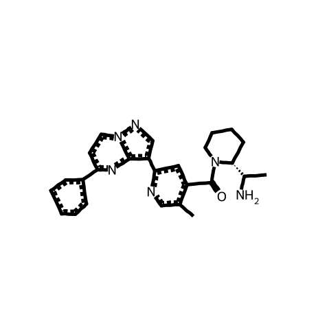 Cc1cnc(-c2cnn3ccc(-c4ccccc4)nc23)cc1C(=O)N1CCCC[C@@H]1C(C)N